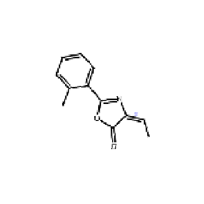 C/C=C1/N=C(c2ccccc2C)OC1=O